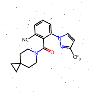 N#Cc1cccc(-n2ccc(C(F)(F)F)n2)c1C(=O)N1CCC2(CC1)CC2